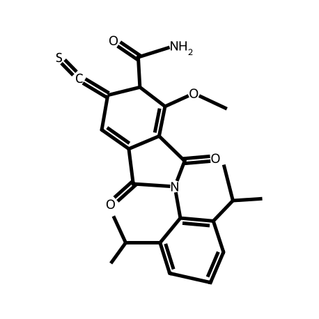 COC1=C2C(=O)N(c3c(C(C)C)cccc3C(C)C)C(=O)C2=CC(=C=S)C1C(N)=O